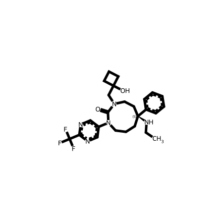 CCN[C@@]1(c2ccccc2)CCCN(c2cnc(C(F)(F)F)nc2)C(=O)N(CC2(O)CCC2)CC1